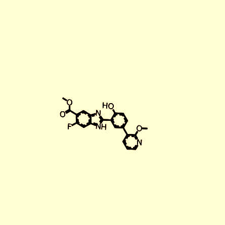 COC(=O)c1cc2nc(-c3cc(-c4cccnc4OC)ccc3O)[nH]c2cc1F